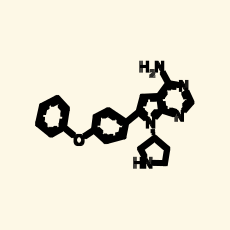 Nc1ncnc2c1cc(-c1ccc(Oc3ccccc3)cc1)n2[C@@H]1CCNC1